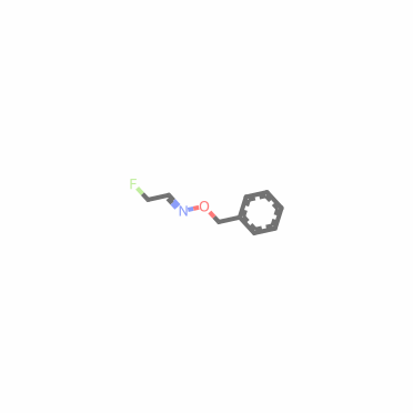 FCC=NOCc1ccccc1